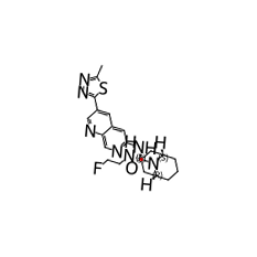 Cc1nnc(-c2cnc3cnc(NC(=O)N4[C@@H]5CCC[C@H]4C[C@@H](NCCF)C5)cc3c2)s1